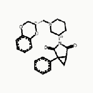 O=C1C2CC2(c2ccccc2)C(=O)N1[C@H]1CCCN(C[C@H]2COc3ccccc3O2)C1